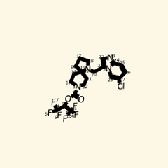 O=C(OC(C(F)(F)F)C(F)(F)F)N1CCC2(CCCN2Cc2cnc3ccc(Cl)cn23)CC1